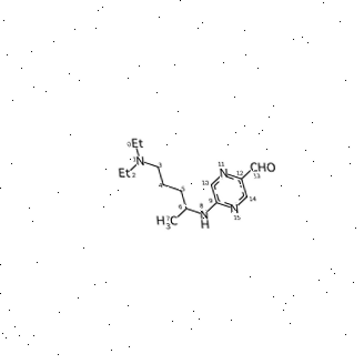 CCN(CC)CCCC(C)Nc1cnc(C=O)cn1